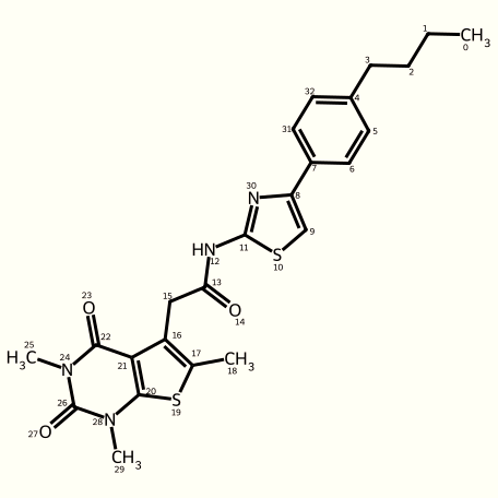 CCCCc1ccc(-c2csc(NC(=O)Cc3c(C)sc4c3c(=O)n(C)c(=O)n4C)n2)cc1